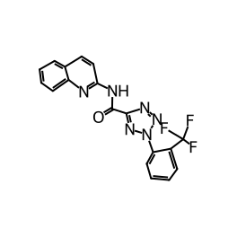 O=C(Nc1ccc2ccccc2n1)c1nnn(-c2ccccc2C(F)(F)F)n1